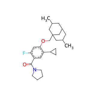 CC1CC2CC(C)CC(COc3cc(F)c(C(=O)N4CCCC4)cc3C3CC3)(C1)C2